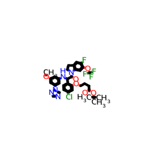 COc1cc(NC(C(=O)N2CCc3cc(F)c(OC(F)(F)F)cc32)c2ccc(Cl)cc2OCCCC(=O)OC(C)(C)C)cc(-n2cncn2)c1